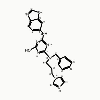 Oc1nc(Nc2ccc3ncsc3c2)nc(N(CCCn2ccnc2)Cc2ccccc2)n1